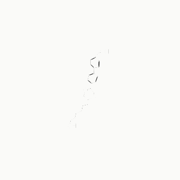 CCCCCCC[C@H]1CO[C@H](c2ccc(-c3ccc(CC)cc3)cc2)CO1